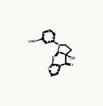 COc1cccc(N2CCC3(O)C(=O)c4ccsc4N=C23)c1